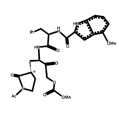 COC(=O)OCC(=O)C(C[C@@H]1CCN(C(C)=O)C1=O)NC(=O)C(CC(C)C)NC(=O)c1cc2c(OC)cccc2[nH]1